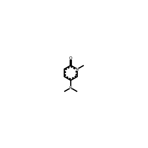 CN(C)c1ccc(=O)n(C)c1